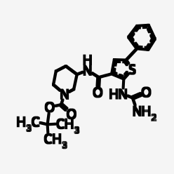 CC(C)(C)OC(=O)N1CCCC(NC(=O)c2cc(-c3ccccc3)sc2NC(N)=O)C1